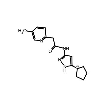 Cc1ccc(CC(=O)Nc2cc([C@H]3C[CH]CC3)[nH]n2)nc1